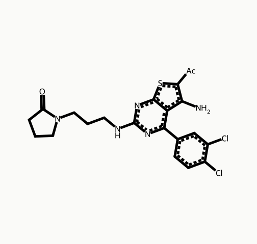 CC(=O)c1sc2nc(NCCCN3CCCC3=O)nc(-c3ccc(Cl)c(Cl)c3)c2c1N